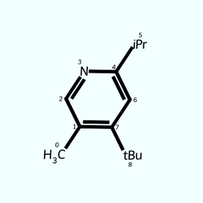 Cc1cnc(C(C)C)cc1C(C)(C)C